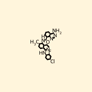 Cc1ccc2c(Nc3ccc(Cl)cc3F)nccc2c1NC(=O)c1cccc2c(N)ncnc12